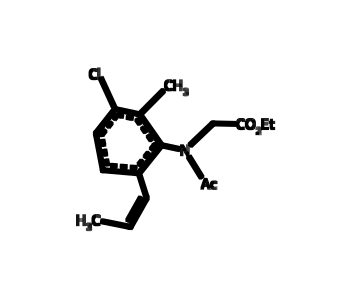 C/C=C\c1ccc(Cl)c(C)c1N(CC(=O)OCC)C(C)=O